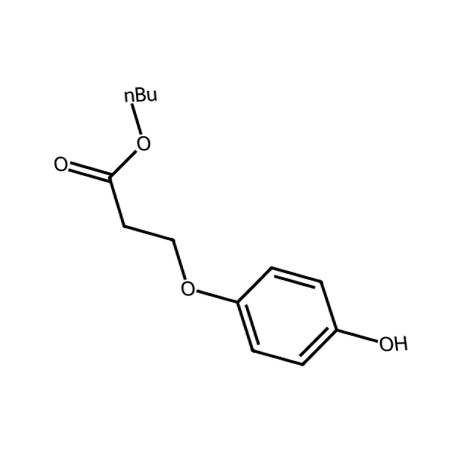 CCCCOC(=O)CCOc1ccc(O)cc1